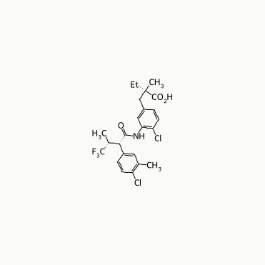 CC[C@@](C)(Cc1ccc(Cl)c(NC(=O)[C@H](c2ccc(Cl)c(C)c2)[C@@H](C)C(F)(F)F)c1)C(=O)O